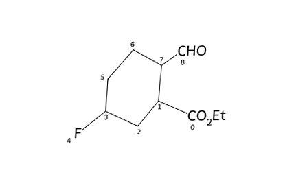 CCOC(=O)C1CC(F)CCC1C=O